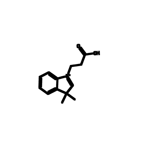 CC1(C)C=[N+](CCC(=O)O)c2ccccc21